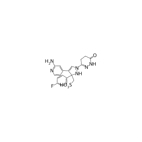 Nc1cc(C2=CN(C3=NNC(=O)CC3)NC2(CS(=O)(=O)O)c2ccc(F)cc2)ccn1